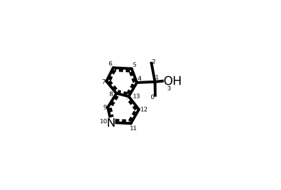 CC(C)(O)c1cccc2cnccc12